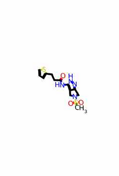 CS(=O)(=O)N1Cc2n[nH]c(NC(=O)CCc3cccs3)c2C1